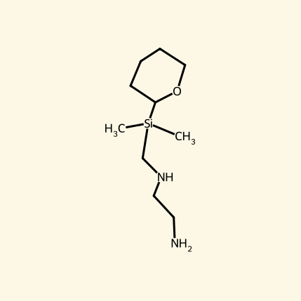 C[Si](C)(CNCCN)C1CCCCO1